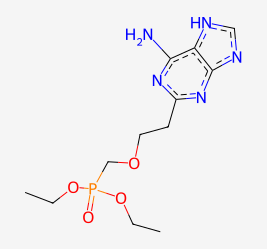 CCOP(=O)(COCCc1nc(N)c2[nH]cnc2n1)OCC